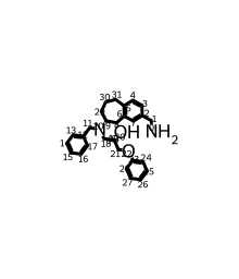 NCc1ccc2c(c1)CC(N(Cc1ccccc1)C[C@H](O)COc1ccccc1)CCC2